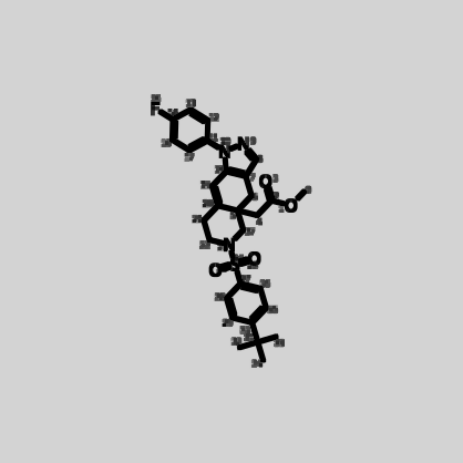 COC(=O)CC12Cc3cnn(-c4ccc(F)cc4)c3C=C1CCN(S(=O)(=O)c1ccc(C(C)(C)C)cc1)C2